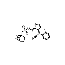 Cc1ccccc1/C(C#N)=C1\C=CS\C1=N/OS(=O)(=O)CC12CCC(CC1)C2(C)C